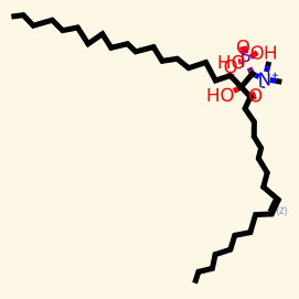 CCCCCCCC/C=C\CCCCCCCC(=O)C(O)(C(=O)CCCCCCCCCCCCCCCCC)C([N+](C)(C)C)P(=O)(O)O